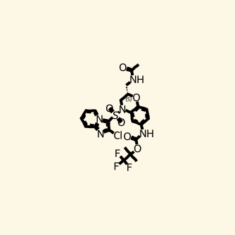 CC(=O)NC[C@H]1CN(S(=O)(=O)c2c(Cl)nc3ccccn23)c2cc(NC(=O)OC(C)(C)C(F)(F)F)ccc2O1